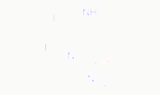 NC(=O)c1nc(I)c(F)c(N)c1Cl